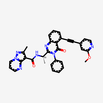 COc1cc(C#Cc2cccc3nc([C@H](C)NC(=O)c4c(C)nn5cccnc45)n(-c4ccccc4)c(=O)c23)ccn1